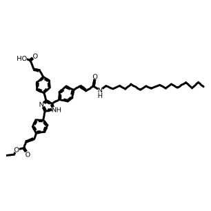 CCCCCCCCCCCCCCCCNC(=O)C=Cc1ccc(-c2[nH]c(-c3ccc(/C=C/C(=O)OCC)cc3)nc2-c2ccc(/C=C/C(=O)O)cc2)cc1